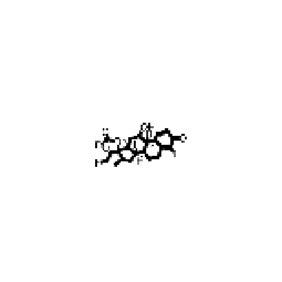 CCC(=O)O[C@]1(C(=O)CF)C(C)C[C@H]2[C@@H]3CCC4=C(F)C(=O)C=C[C@]4(C)[C@H]3C(O)C[C@@]21C